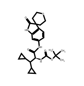 CC(C)(C)OC(=O)N[C@H](C(=O)Nc1ccc2c(c1)NC(=O)C21CCOCC1)C(C1CC1)C1CC1